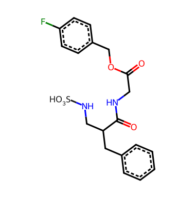 O=C(CNC(=O)C(CNS(=O)(=O)O)Cc1ccccc1)OCc1ccc(F)cc1